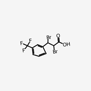 O=C(O)C(Br)C(Br)c1cccc(C(F)(F)F)c1